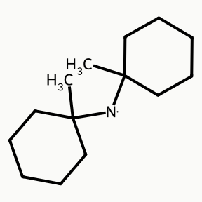 CC1([N]C2(C)CCCCC2)CCCCC1